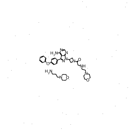 NCCCN1CCOCC1.Nc1ncnc2c1c(-c1ccc(Oc3ccccc3)cc1)nn2C1CN(C(=O)CNCCN2CCOCC2)C1